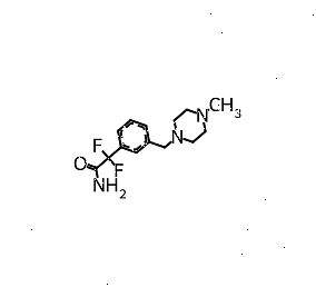 CN1CCN(Cc2cccc(C(F)(F)C(N)=O)c2)CC1